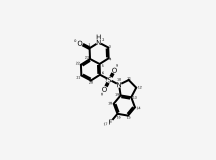 O=c1[nH]ccc2c(S(=O)(=O)N3CCc4ccc(F)cc43)cccc12